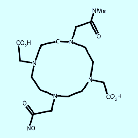 CNC(=O)CN1CCN(CC(=O)O)CCN(CC(=O)N=O)CCN(CC(=O)O)CC1